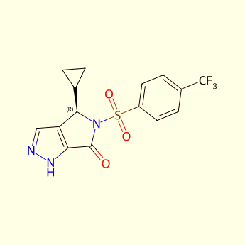 O=C1c2[nH]ncc2[C@@H](C2CC2)N1S(=O)(=O)c1ccc(C(F)(F)F)cc1